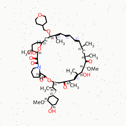 CO[C@@H]1C[C@H](C[C@@H](C)[C@@H]2CC(=O)[C@H](C)/C=C(\C)[C@@H](O)[C@@H](OC)C(=O)[C@H](C)C[C@H](C)/C=C/C=C/C=C(\C)[C@H](OCC3CCOCC3)C[C@@H]3CC[C@@H](C)[C@@](O)(O3)C(=O)C(=O)N3CCCC[C@H]3C(=O)O2)CC[C@H]1O